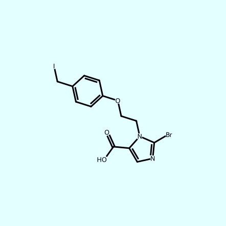 O=C(O)c1cnc(Br)n1CCOc1ccc(CI)cc1